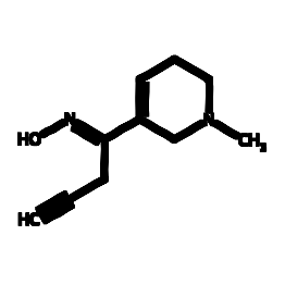 C#CC/C(=N\O)C1=CCCN(C)C1